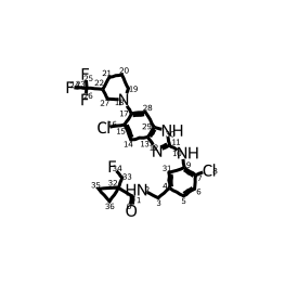 O=C(NCc1ccc(Cl)c(Nc2nc3cc(Cl)c(N4CCCC(C(F)(F)F)C4)cc3[nH]2)c1)C1(CF)CC1